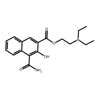 CCN(CC)CCOC(=O)c1cc2ccccc2c(C(N)=O)c1O